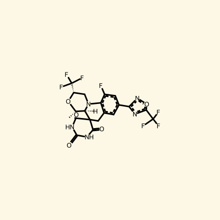 C[C@@H]1O[C@H](C(F)(F)F)CN2c3c(F)cc(-c4noc(C(F)(F)F)n4)cc3CC3(C(=O)NC(=O)NC3=O)[C@@H]12